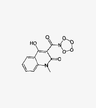 Cn1c(=O)c(C(=O)n2oooo2)c(O)c2ccccc21